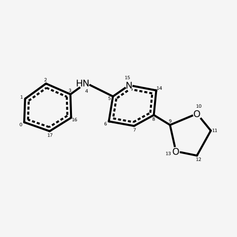 c1ccc(Nc2ccc(C3OCCO3)cn2)cc1